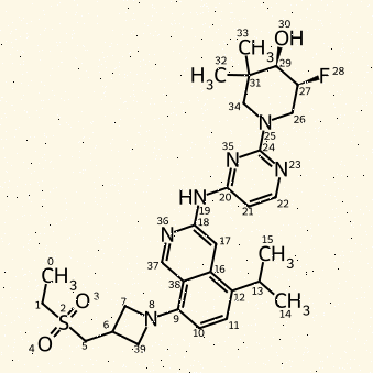 CCS(=O)(=O)CC1CN(c2ccc(C(C)C)c3cc(Nc4ccnc(N5C[C@H](F)[C@H](O)C(C)(C)C5)n4)ncc23)C1